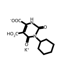 O=C([O-])c1[nH]c(=O)n(C2CCCCC2)c(=O)c1C(=O)O.[K+]